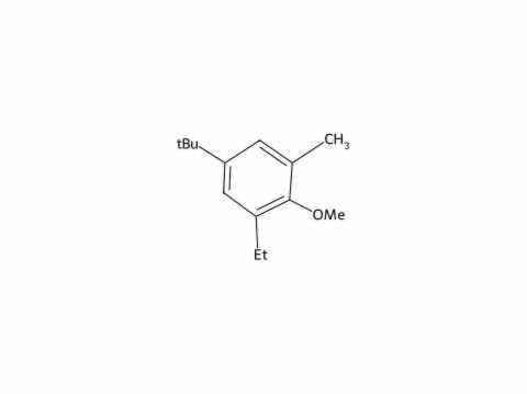 CCc1cc(C(C)(C)C)cc(C)c1OC